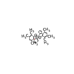 Cc1cc(C)c(C)c([O][Zr]([O]c2cc(C)cc(C)c2C)([C]2=CC=CC2)[C]2=CC=CC2)c1